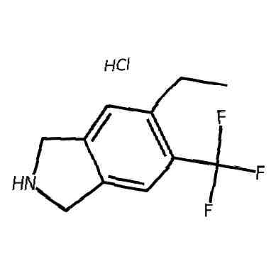 CCc1cc2c(cc1C(F)(F)F)CNC2.Cl